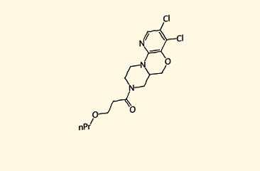 CCCOCCC(=O)N1CCN2c3ncc(Cl)c(Cl)c3OCC2C1